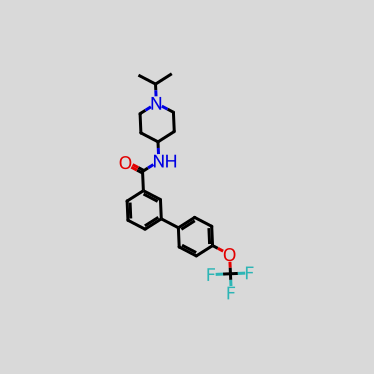 CC(C)N1CCC(NC(=O)c2cccc(-c3ccc(OC(F)(F)F)cc3)c2)CC1